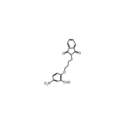 O=Cc1cc([N+](=O)[O-])ccc1OCCCCN1C(=O)c2ccccc2C1=O